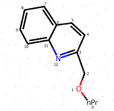 CCCOCc1ccc2ccccc2n1